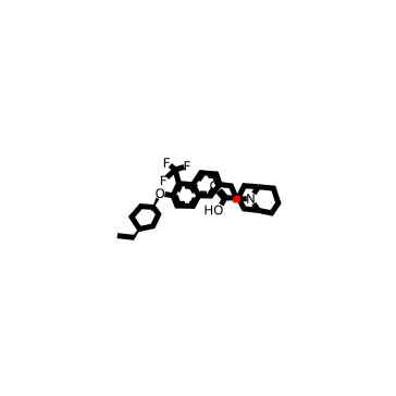 CC[C@H]1CC[C@@H](Oc2ccc3cc(CCN4C5CCCC4CC(C(=O)O)C5)ccc3c2C(F)(F)F)CC1